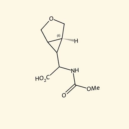 COC(=O)NC(C(=O)O)C1C2COC[C@H]21